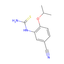 CC(C)Oc1ccc(C#N)cc1NC(N)=S